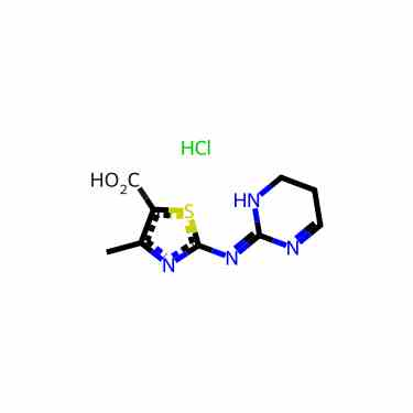 Cc1nc(N=C2N=CCCN2)sc1C(=O)O.Cl